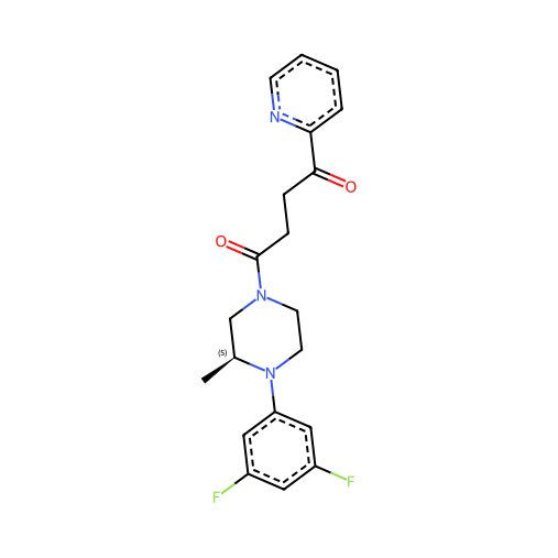 C[C@H]1CN(C(=O)CCC(=O)c2ccccn2)CCN1c1cc(F)cc(F)c1